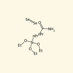 CCCC(N)=O.CCC[Si](OCC)(OCC)OCC.[Se]=[Se]